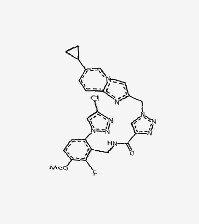 COc1ccc(-n2cc(Cl)nn2)c(CNC(=O)c2cn(Cc3cn4cc(C5CC5)ccc4n3)nn2)c1F